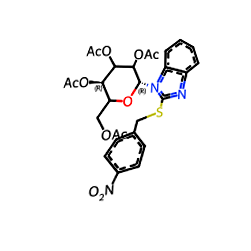 CC(=O)OCC1O[C@@H](n2c(SCc3ccc([N+](=O)[O-])cc3)nc3ccccc32)C(OC(C)=O)C(OC(C)=O)[C@@H]1OC(C)=O